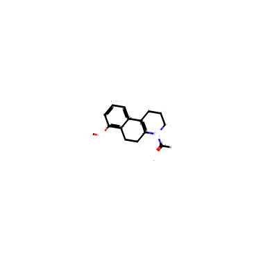 COc1cccc2c1CCC1=C2CCCN1C(C)=O